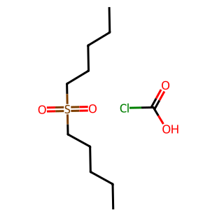 CCCCCS(=O)(=O)CCCCC.O=C(O)Cl